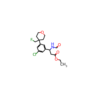 CCOC(=O)CC(NC=O)c1cc(Cl)cc(C2(CF)CCOCC2)c1